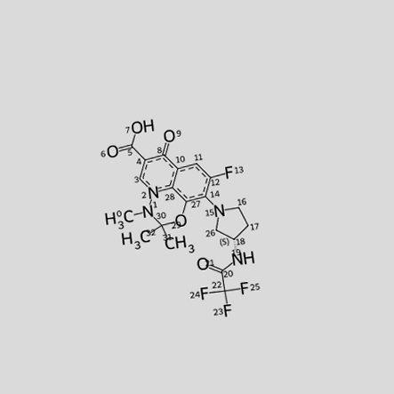 CN1n2cc(C(=O)O)c(=O)c3cc(F)c(N4CC[C@H](NC(=O)C(F)(F)F)C4)c(c32)OC1(C)C